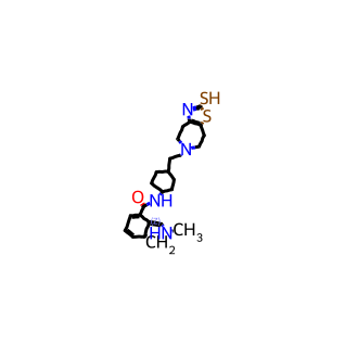 C=c1cccc(C(=O)NC2CCC(CCN3CCc4nc(S)sc4CC3)CC2)/c1=C/NC